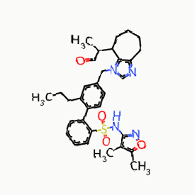 CCCc1cc(Cn2cnc3c2C(C(C)C=O)CCCC3)ccc1-c1ccccc1S(=O)(=O)Nc1noc(C)c1C